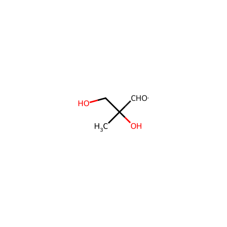 CC(O)([C]=O)CO